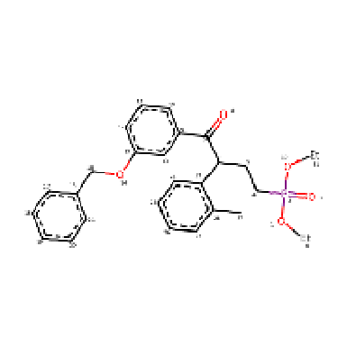 CCOP(=O)(CCC(C(=O)c1cccc(OCc2ccccc2)c1)c1ccccc1C)OCC